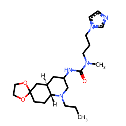 CCCN1CC(NC(=O)N(C)CCCn2ccnc2)C[C@@H]2CC3(CC[C@H]21)OCCO3